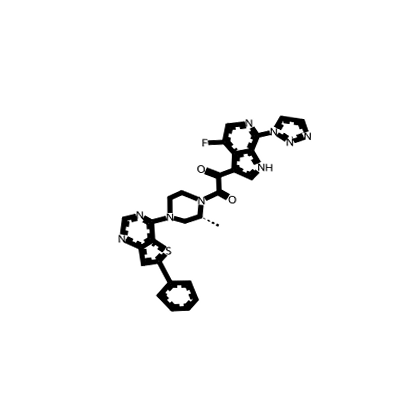 C[C@@H]1CN(c2ncnc3cc(-c4ccccc4)sc23)CCN1C(=O)C(=O)c1c[nH]c2c(-n3ccnn3)ncc(F)c12